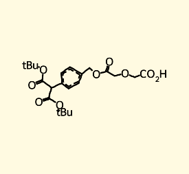 CC(C)(C)OC(=O)C(C(=O)OC(C)(C)C)c1ccc(COC(=O)COCC(=O)O)cc1